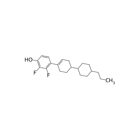 CCCC1CCC(C2CC=C(c3ccc(O)c(F)c3F)CC2)CC1